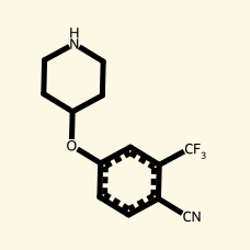 N#Cc1ccc(OC2CCNCC2)cc1C(F)(F)F